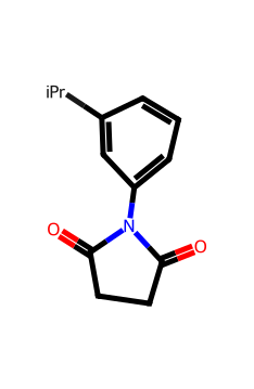 CC(C)c1cccc(N2C(=O)CCC2=O)c1